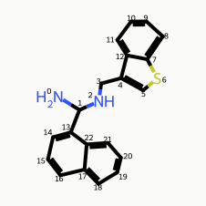 NC(NCc1csc2ccccc12)c1cccc2ccccc12